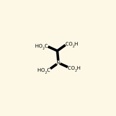 O=C(O)C(C(=O)O)N(C(=O)O)C(=O)O